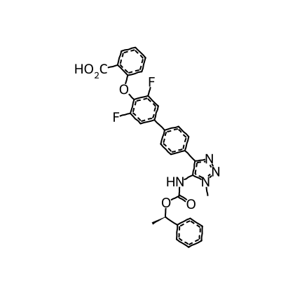 C[C@@H](OC(=O)Nc1c(-c2ccc(-c3cc(F)c(Oc4ccccc4C(=O)O)c(F)c3)cc2)nnn1C)c1ccccc1